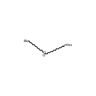 CCCCCCC=CCCCCCCCCCCCC(=O)OCCCCCCCCCCCCC(C)CC